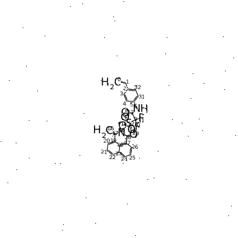 C=Cc1ccc(NC(=O)C(F)(F)S(=O)(=O)On2c(=C)c3cccc4cccc(c2=O)c43)cc1